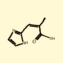 CC(=Cc1ncc[nH]1)C(=O)O